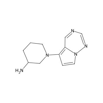 NC1CCCN(c2ccn3ncncc23)C1